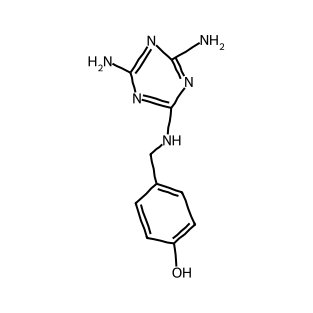 Nc1nc(N)nc(NCc2ccc(O)cc2)n1